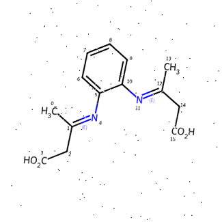 C/C(CC(=O)O)=N\c1ccccc1/N=C(\C)CC(=O)O